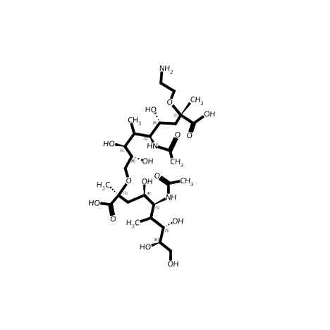 CC(=O)N[C@@H](C(C)[C@H](O)[C@H](O)CO)[C@H](O)C[C@](C)(OC[C@@H](O)[C@@H](O)C(C)[C@H](NC(C)=O)[C@H](O)C[C@](C)(OCCN)C(=O)O)C(=O)O